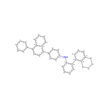 c1ccc(-c2ccc(-c3ccc(Nc4ccccc4-c4cccc5c4CCCC5)cc3)c3ccccc23)cc1